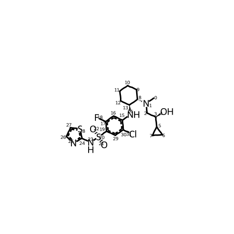 CN(C[C@@H](O)C1CC1)[C@H]1CCCC[C@@H]1Nc1cc(F)c(S(=O)(=O)Nc2nccs2)cc1Cl